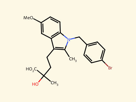 COc1ccc2c(c1)c(CCC(C)(O)C(=O)O)c(C)n2Cc1ccc(Br)cc1